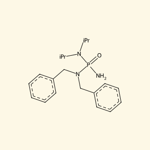 CC(C)N(C(C)C)P(N)(=O)N(Cc1ccccc1)Cc1ccccc1